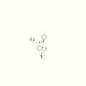 Cc1cc(-n2ncnc2C)c2cccc(OCc3c(Cl)cc(F)cc3[C@H](C)NC(=O)c3coc(C)n3)c2n1